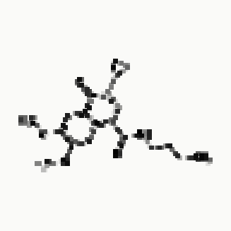 CCCCNC(=O)c1cn(C2CC2)c(=O)c2cc(OC)c(OC)cc12